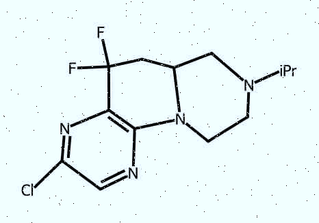 CC(C)N1CCN2c3ncc(Cl)nc3C(F)(F)CC2C1